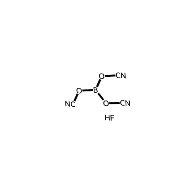 F.N#COB(OC#N)OC#N